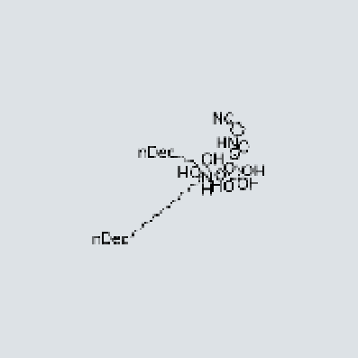 CCCCCCCCCCCCCCCCCCCCCCCCCCN[C@@H](CO[C@@H]1O[C@H](COC(=O)Nc2cccc(C#N)c2)[C@H](O)[C@H](O)[C@H]1O)[C@H](O)[C@H](O)CCCCCCCCCCCCCC